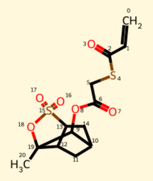 C=CC(=O)SCC(=O)OC1C2CC3C(C2)S(=O)(=O)OC31C